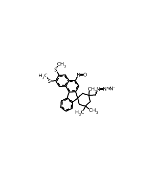 CSc1cc2c(N=O)cc3c(c2cc1SC)-c1ccccc1C31CC(C)(C)CC(C)(CN=[N+]=[N-])C1